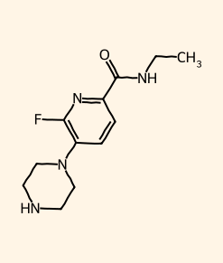 CCNC(=O)c1ccc(N2CCNCC2)c(F)n1